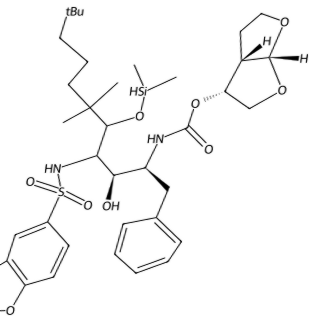 C[SiH](C)OC(C(NS(=O)(=O)c1ccc2c(c1)OCO2)[C@H](O)[C@H](Cc1ccccc1)NC(=O)O[C@H]1CO[C@H]2OCC[C@H]21)C(C)(C)CCCC(C)(C)C